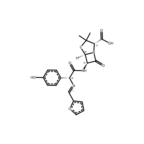 CC1(C)S[C@@H]2[C@H](NC(=O)[C@H](/N=C/c3ccco3)c3ccc(O)cc3)C(=O)N2[C@H]1C(=O)O